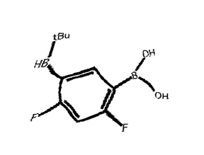 CC(C)(C)Bc1cc(B(O)O)c(F)cc1F